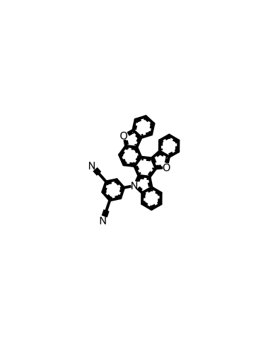 N#Cc1cc(C#N)cc(-n2c3ccccc3c3c4oc5ccccc5c4c4c(ccc5oc6ccccc6c54)c32)c1